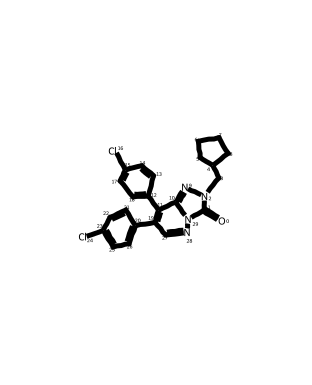 O=c1n(CC2CCCC2)nc2c(-c3ccc(Cl)cc3)c(-c3ccc(Cl)cc3)cnn12